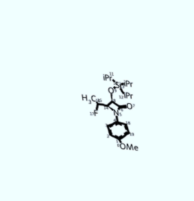 COc1ccc(N2C(=O)[C@H](O[Si](C(C)C)(C(C)C)C(C)C)[C@@H]2[C@H](C)F)cc1